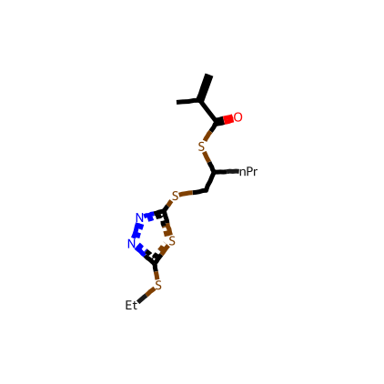 C=C(C)C(=O)SC(CCC)CSc1nnc(SCC)s1